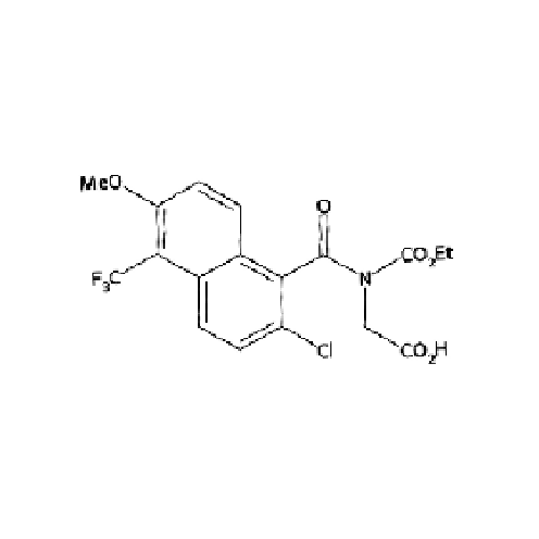 CCOC(=O)N(CC(=O)O)C(=O)c1c(Cl)ccc2c(C(F)(F)F)c(OC)ccc12